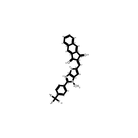 Cn1c(-c2ccc(C(F)(F)F)cc2)nc2sc(C=C3C(=O)c4cc5ccccc5cc4C3=O)cc21